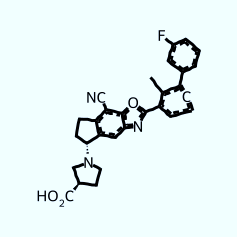 Cc1c(-c2cccc(F)c2)cccc1-c1nc2cc3c(c(C#N)c2o1)CC[C@H]3N1CC[C@@H](C(=O)O)C1